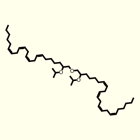 CCCCC/C=C\C/C=C\C/C=C\C/C=C\CCCCC(COCC(CCCC/C=C\C/C=C\C/C=C\C/C=C\CCCCC)OC(C)C)OC(C)C